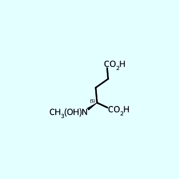 CN(O)[C@@H](CCC(=O)O)C(=O)O